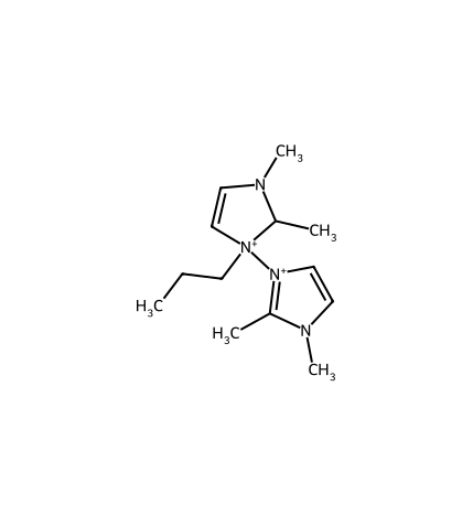 CCC[N+]1([n+]2ccn(C)c2C)C=CN(C)C1C